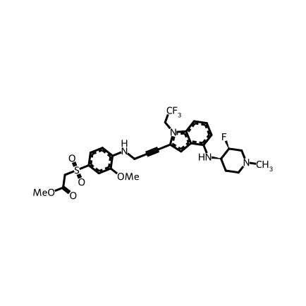 COC(=O)CS(=O)(=O)c1ccc(NCC#Cc2cc3c(N[C@@H]4CCN(C)C[C@@H]4F)cccc3n2CC(F)(F)F)c(OC)c1